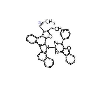 C=Cc1oc2c(c1/C=C\C)c1ccccc1c1c3ccc4ccccc4c3n(-c3nc(-c4ccccc4)c4oc5ccccc5c4n3)c21